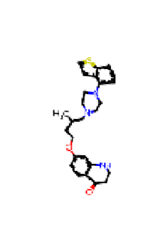 CC(CCOc1ccc2c(c1)NCCC2=O)CN1CCN(c2cccc3sccc23)CC1